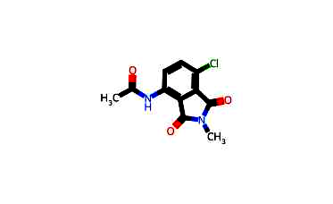 CC(=O)Nc1ccc(Cl)c2c1C(=O)N(C)C2=O